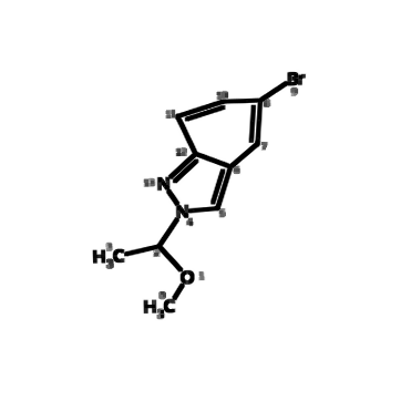 COC(C)n1cc2cc(Br)ccc2n1